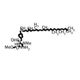 CNC1=C(N)N=C(OCCOC)NC1N(C=O)Cc1ccc(CN(C)CCC/C(C)=C/CC/C(C)=C/CC/C(C)=C/CC/C=C(\C)CC/C=C(\C)CCC=C(C)C)cc1